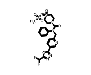 CS(=O)(=O)N=S1(=O)CCN(C(=O)N(Cc2ccc(-c3nnc(C(F)F)o3)cn2)c2ccccc2)CC1